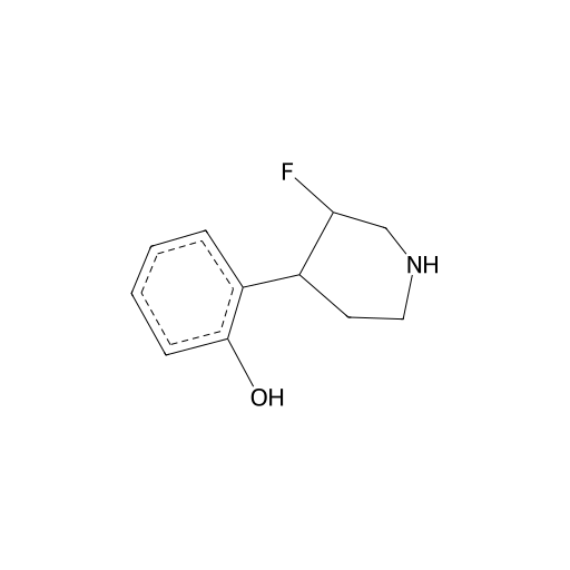 Oc1ccccc1C1CCNCC1F